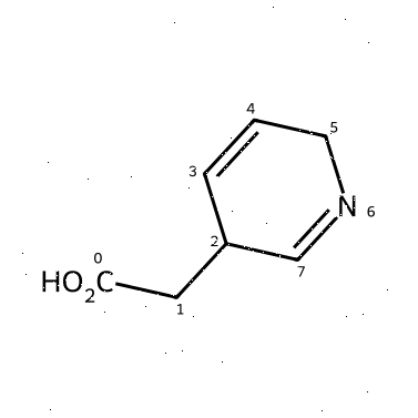 O=C(O)CC1C=CCN=C1